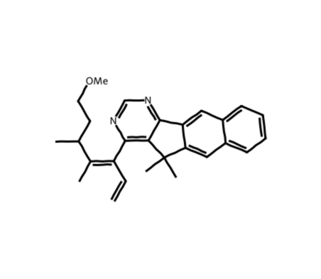 C=CC(=C(C)C(C)CCOC)c1ncnc2c1C(C)(C)c1cc3ccccc3cc1-2